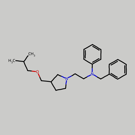 CC(C)COCC1CCN(CCN(Cc2ccccc2)c2ccccc2)C1